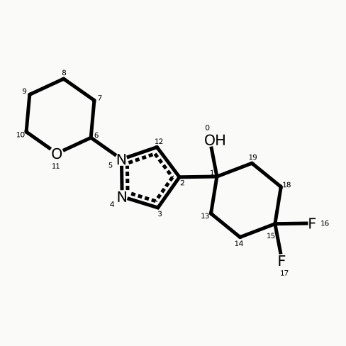 OC1(c2cnn(C3CCCCO3)c2)CCC(F)(F)CC1